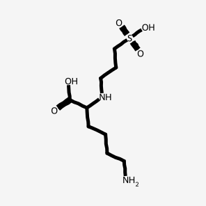 NCCCCC(NCCCS(=O)(=O)O)C(=O)O